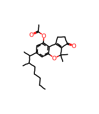 CCCCCC(C)C(C)c1cc(OC(C)=O)c2c(c1)OC(C)(C)C1=C2CCC1=O